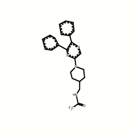 O=C(NCC1CCN(c2cnc(-c3ccccc3)c(-c3ccccc3)n2)CC1)C(F)(F)F